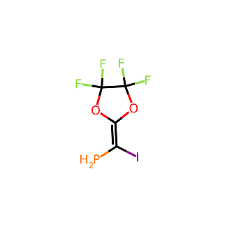 FC1(F)OC(=C(P)I)OC1(F)F